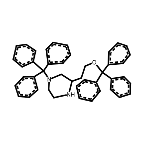 c1ccc(C(OCCC2CN(C(c3ccccc3)(c3ccccc3)c3ccccc3)CCN2)(c2ccccc2)c2ccccc2)cc1